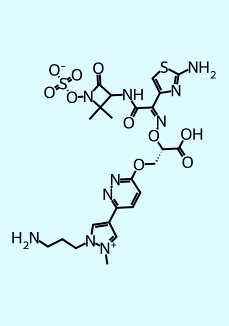 C[n+]1cc(-c2ccc(OC[C@H](O/N=C(\C(=O)NC3C(=O)N(OS(=O)(=O)[O-])C3(C)C)c3csc(N)n3)C(=O)O)nn2)cn1CCCN